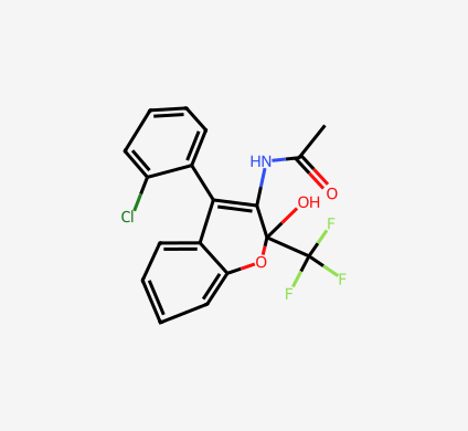 CC(=O)NC1=C(c2ccccc2Cl)c2ccccc2OC1(O)C(F)(F)F